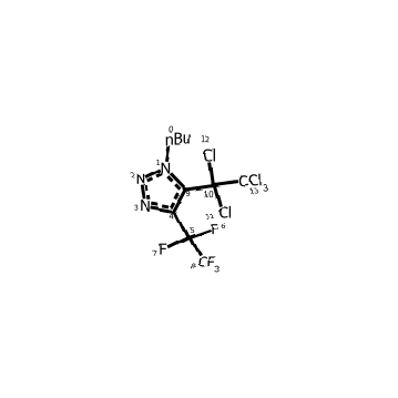 CCCCn1nnc(C(F)(F)C(F)(F)F)c1C(Cl)(Cl)C(Cl)(Cl)Cl